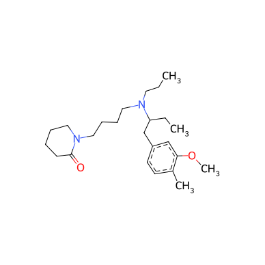 CCCN(CCCCN1CCCCC1=O)C(CC)Cc1ccc(C)c(OC)c1